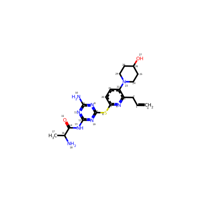 C=CCc1nc(Sc2nc(N)nc(NC(=O)C(C)N)n2)ccc1N1CCC(O)CC1